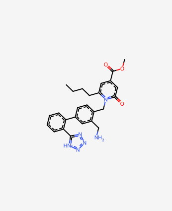 CCCCc1cc(C(=O)OC)cc(=O)n1Cc1ccc(-c2ccccc2-c2nnn[nH]2)cc1CN